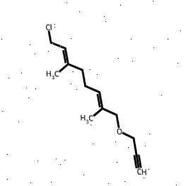 C#CCOC/C(C)=C/CC/C(C)=C/CCl